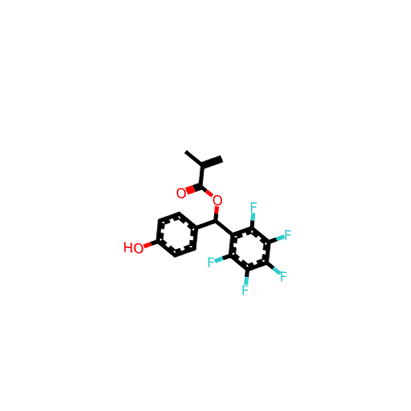 C=C(C)C(=O)OC(c1ccc(O)cc1)c1c(F)c(F)c(F)c(F)c1F